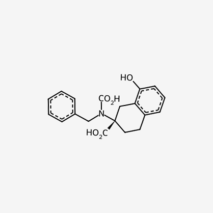 O=C(O)N(Cc1ccccc1)[C@@]1(C(=O)O)CCc2cccc(O)c2C1